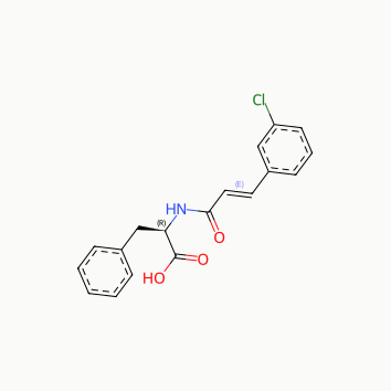 O=C(/C=C/c1cccc(Cl)c1)N[C@H](Cc1ccccc1)C(=O)O